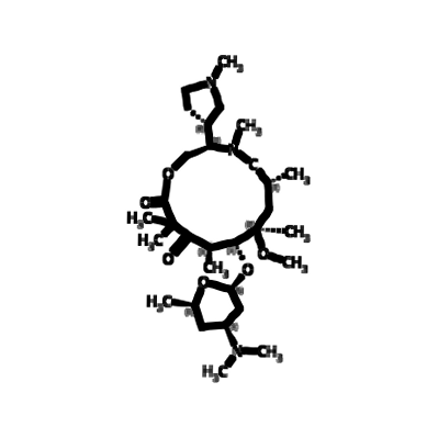 CO[C@]1(C)C[C@@H](C)CN(C)[C@H]([C@@H]2CCN(C)C2)COC(=O)C(C)(C)C(=O)[C@H](C)[C@H]1O[C@H]1C[C@@H](N(C)C)C[C@@H](C)O1